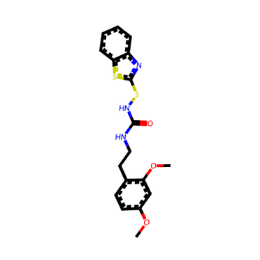 COc1ccc(CCNC(=O)NSc2nc3ccccc3s2)c(OC)c1